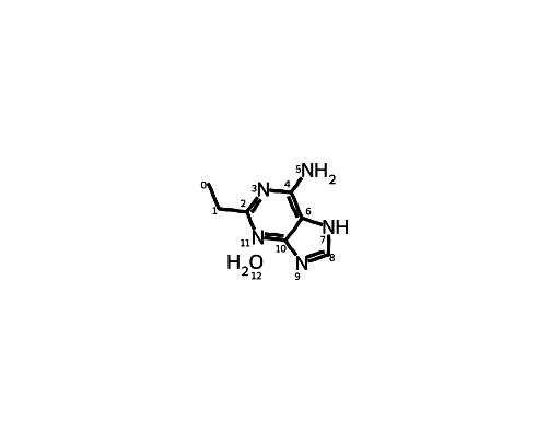 CCc1nc(N)c2[nH]cnc2n1.O